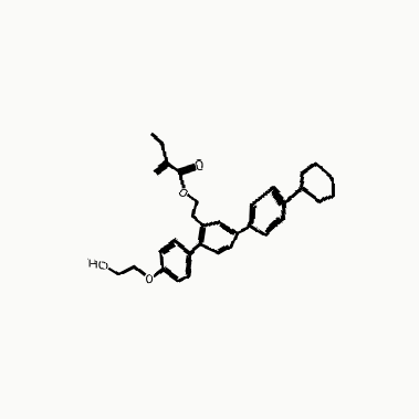 C=C(CC)C(=O)OCCc1cc(-c2ccc(C3CCCCC3)cc2)ccc1-c1ccc(OCCO)cc1